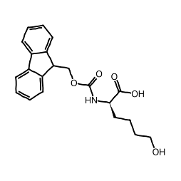 O=C(N[C@H](CCCCO)C(=O)O)OCC1c2ccccc2-c2ccccc21